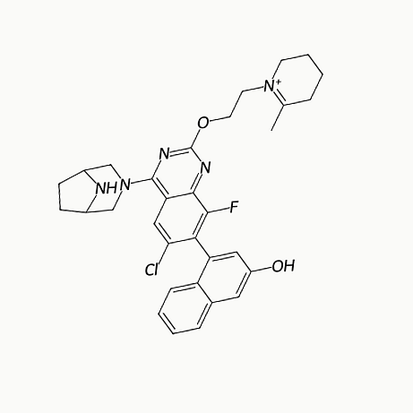 CC1=[N+](CCOc2nc(N3CC4CCC(C3)N4)c3cc(Cl)c(-c4cc(O)cc5ccccc45)c(F)c3n2)CCCC1